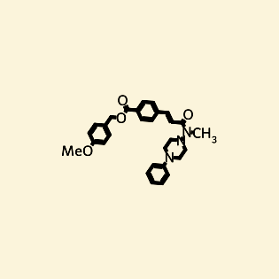 COc1ccc(COC(=O)c2ccc(C=CC(=O)N(C)N3CCN(c4ccccc4)CC3)cc2)cc1